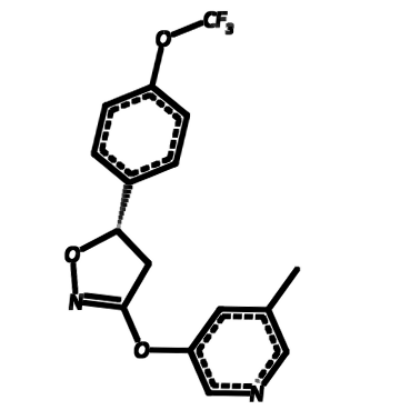 Cc1cncc(OC2=NO[C@H](c3ccc(OC(F)(F)F)cc3)C2)c1